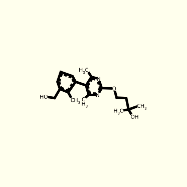 Cc1nc(OCCC(C)(C)O)nc(C)c1-c1cccc(CO)c1C